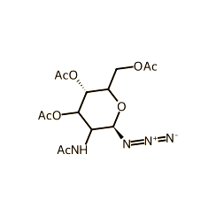 CC(=O)NC1C(OC(C)=O)[C@H](OC(C)=O)C(COC(C)=O)O[C@H]1N=[N+]=[N-]